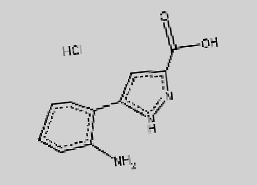 Cl.Nc1ccccc1-c1cc(C(=O)O)n[nH]1